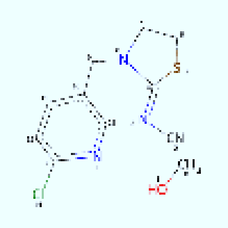 CO.N#CN=C1SCCN1Cc1ccc(Cl)nc1